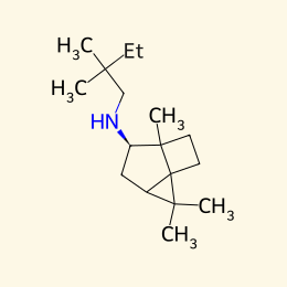 CCC(C)(C)CN[C@@H]1CC2C(C)(C)C23CCC13C